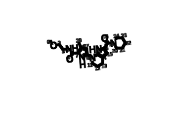 COCCNC(=O)c1[nH]c(N2CCCc3cc(C(=O)N4CCCCC4)[nH]c32)cc1C